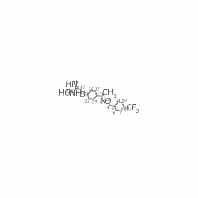 C/C(=N\OCc1ccc(C(F)(F)F)cc1)c1ccc(OCC(=N)NO)cc1